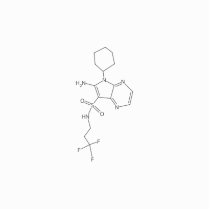 Nc1c(S(=O)(=O)NCCC(F)(F)F)c2nccnc2n1C1CCCCC1